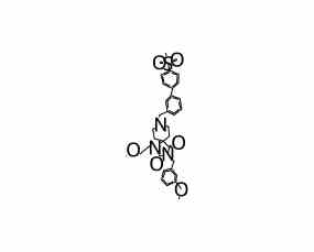 COCCN1C(=O)N(Cc2cccc(OC)c2)C(=O)C12CCN(Cc1cccc(-c3ccc(S(C)(=O)=O)cc3)c1)CC2